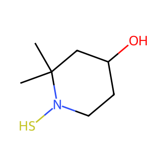 CC1(C)CC(O)CCN1S